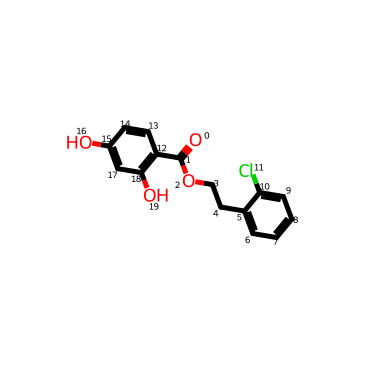 O=C(OCCc1ccccc1Cl)c1ccc(O)cc1O